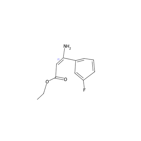 CCOC(=O)/C=C(/N)c1cccc(F)c1